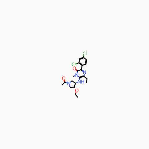 CCO[C@@H]1CN(C(C)=O)C[C@H]1Nc1c(CC)nc(-c2ccc(Cl)cc2Cl)c(=O)n1C